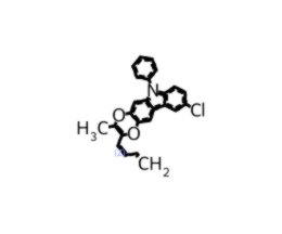 C=C/C=C\C1=C(C)Oc2cc3c(cc2O1)c1cc(Cl)ccc1n3-c1ccccc1